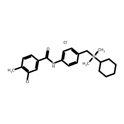 Cc1ccc(C(=O)Nc2ccc(C[N+](C)(C)C3CCCCC3)cc2)cc1Cl.[Cl-]